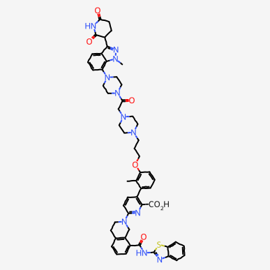 Cc1c(OCCCN2CCN(CC(=O)N3CCN(c4cccc5c(C6CCC(=O)NC6=O)nn(C)c45)CC3)CC2)cccc1-c1ccc(N2CCc3cccc(C(=O)Nc4nc5ccccc5s4)c3C2)nc1C(=O)O